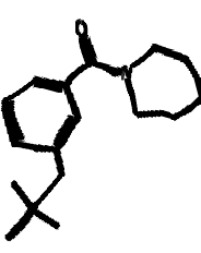 CC(C)(C)Cc1cccc(C(=O)N2CCCCC2)c1